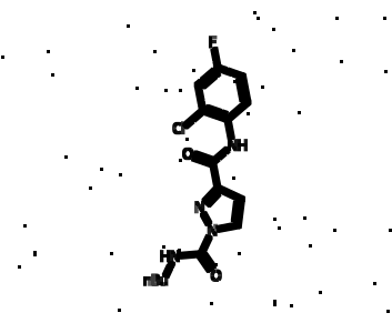 CCCCNC(=O)n1ccc(C(=O)Nc2ccc(F)cc2Cl)n1